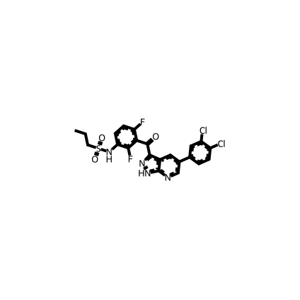 CCCS(=O)(=O)Nc1ccc(F)c(C(=O)c2n[nH]c3ncc(-c4ccc(Cl)c(Cl)c4)cc23)c1F